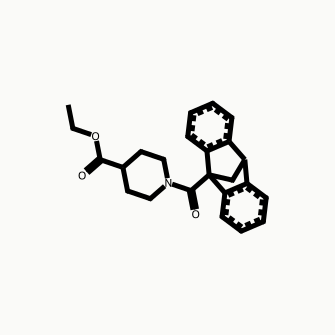 CCOC(=O)C1CCN(C(=O)C23CC(c4ccccc42)c2ccccc23)CC1